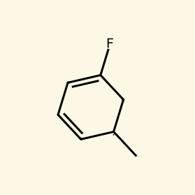 C[C]1C=CC=C(F)C1